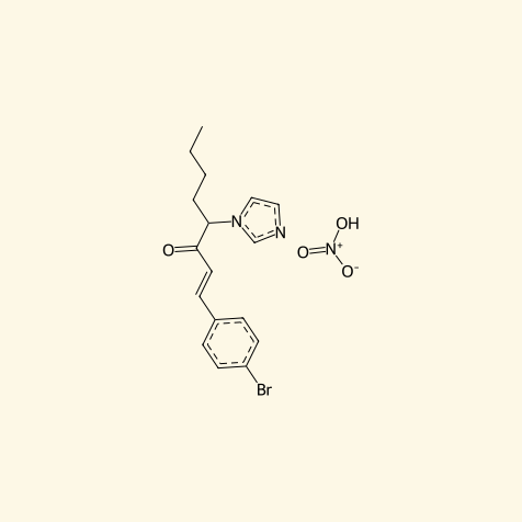 CCCCC(C(=O)C=Cc1ccc(Br)cc1)n1ccnc1.O=[N+]([O-])O